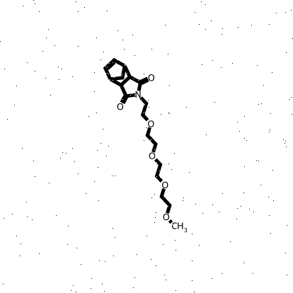 COCCOCCOCCOCCN1C(=O)C2C3C=CC(C3)C2C1=O